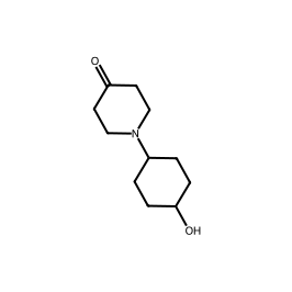 O=C1CCN(C2CCC(O)CC2)CC1